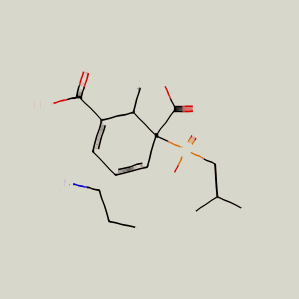 CC(C)CP(=O)(O)C1(C(=O)O)C=CC=C(C(=O)O)C1C.CCCN